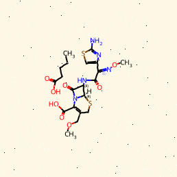 CCCCC(=O)O.COCC1=C(C(=O)O)N2C(=O)[C@@H](NC(=O)/C(=N/OC)c3csc(N)n3)[C@H]2SC1